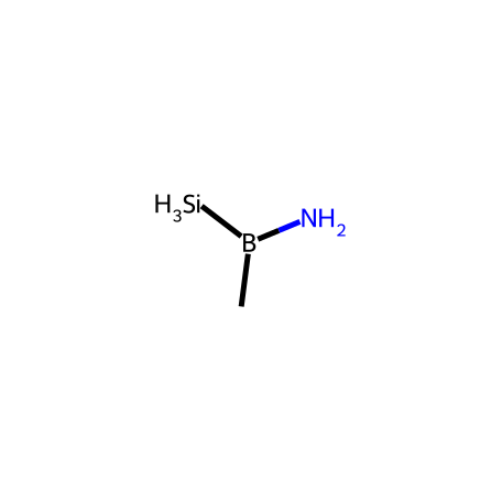 CB(N)[SiH3]